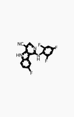 N#Cc1cnc(Nc2c(F)cc(F)cc2F)c2c1[nH]c1ccc(F)cc12